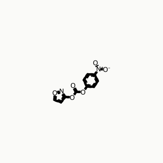 O=C(Oc1ccc([N+](=O)[O-])cc1)Oc1ccon1